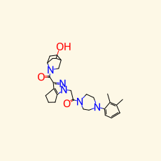 Cc1cccc(N2CCN(C(=O)Cn3nc(C(=O)N4CC5CCC4CC5O)c4c3CCC4)CC2)c1C